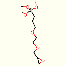 CO[Si](CCCOCCOCC1CO1)(OC)OC